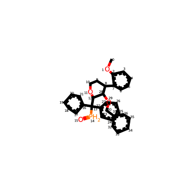 COc1ccccc1C1CCOC(C([PH2]=O)(c2ccccc2)c2ccccc2)C1OCc1ccccc1